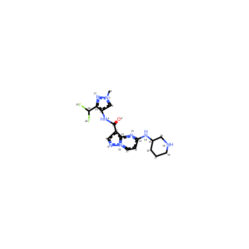 Cn1cc(NC(=O)c2cnn3ccc(NC4CCCNC4)nc23)c(C(F)F)n1